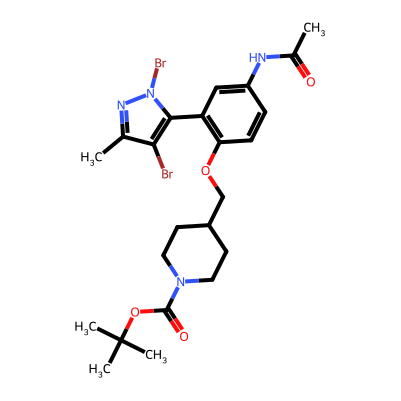 CC(=O)Nc1ccc(OCC2CCN(C(=O)OC(C)(C)C)CC2)c(-c2c(Br)c(C)nn2Br)c1